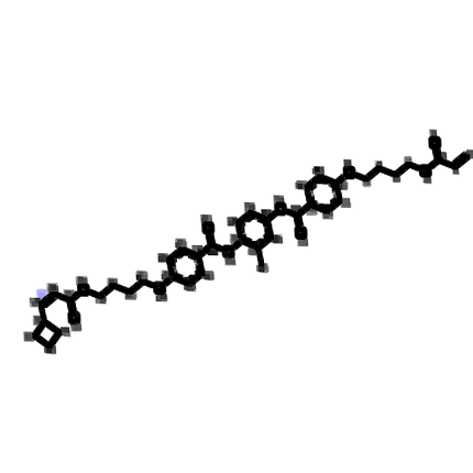 C=CC(=O)OCCCCOc1ccc(C(=O)Oc2ccc(OC(=O)c3ccc(OCCCCOC(=O)/C=C\C4CCC4)cc3)c(C)c2)cc1